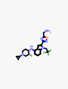 NCc1nc(-c2cc3c(N[C@@H]4CCN(C5CC5)C[C@@H]4F)cccc3n2CC(F)(F)F)no1